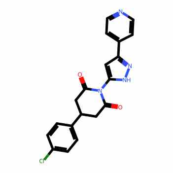 O=C1CC(c2ccc(Cl)cc2)CC(=O)N1c1cc(-c2ccncc2)n[nH]1